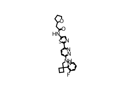 O=C(CC1CCCO1)Nc1cnc(-c2ccc(NCC3(c4ncccc4F)CCC3)nn2)s1